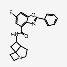 O=C(NC1CC23CCN2CCC13)c1cc(F)cc2oc(-c3ccccc3)nc12